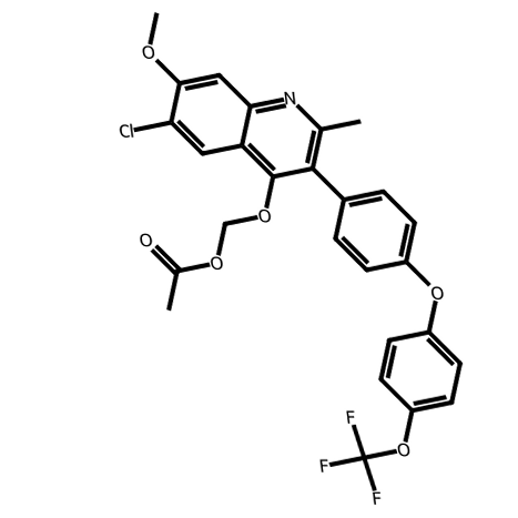 COc1cc2nc(C)c(-c3ccc(Oc4ccc(OC(F)(F)F)cc4)cc3)c(OCOC(C)=O)c2cc1Cl